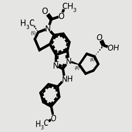 COC(=O)N1c2ccc3c(nc(Nc4cccc(OC)c4)n3[C@@H]3CCC[C@@H](C(=O)O)C3)c2CC[C@@H]1C